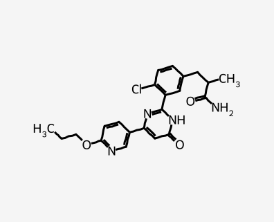 CCCOc1ccc(-c2cc(=O)[nH]c(-c3cc(CC(C)C(N)=O)ccc3Cl)n2)cn1